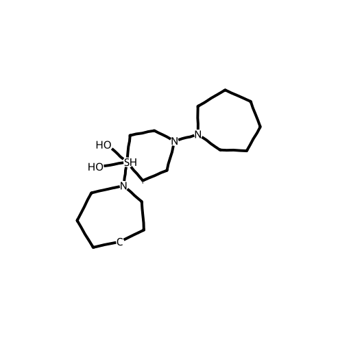 O[SH]1(O)(N2CCCCCC2)[CH]CN(N2CCCCCC2)CC1